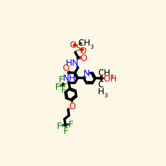 CC(C)(O)c1ccc(C2=C(CNC(=O)CS(C)(=O)=O)C(=O)N[C@@](c3ccc(OCCCC(F)(F)F)cc3)(C(F)(F)F)C2)nc1